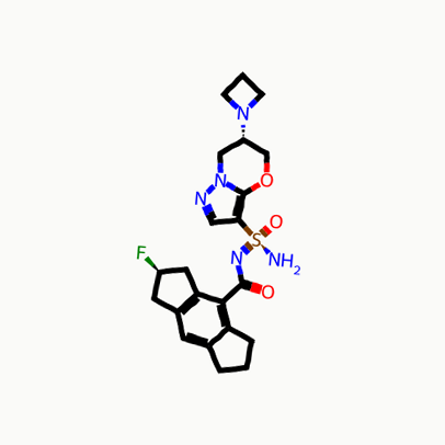 N[S@@](=O)(=NC(=O)c1c2c(cc3c1C[C@H](F)C3)CCC2)c1cnn2c1OC[C@@H](N1CCC1)C2